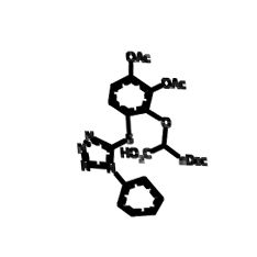 CCCCCCCCCCC(Oc1c(Sc2nnnn2-c2ccccc2)ccc(OC(C)=O)c1OC(C)=O)C(=O)O